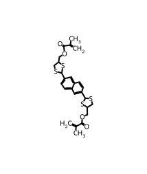 C=C(C)C(=O)OCC1CSC(c2ccc3cc(C4SCC(COC(=O)C(=C)C)S4)ccc3c2)S1